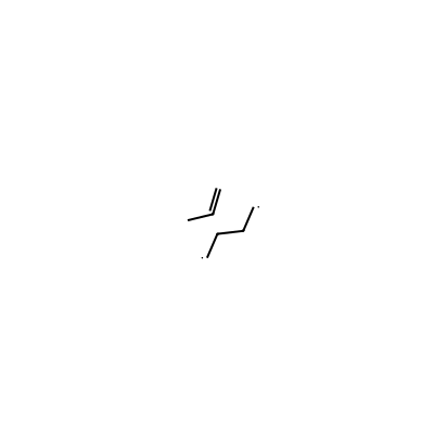 C=CC.[CH2]CC[CH2]